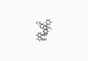 CN(c1cc(C(F)(F)F)ccc1-c1cc(Nc2cccc3c2C(O)CC3)ncn1)C1CCCCC1